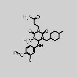 CC1CCC(CN2C(=O)N(CCC(N)=O)C(=O)N(N)C2Nc2ccc(OC(C)C)c(Cl)c2)CC1